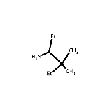 [CH2]CC(C)(C)C(N)CC